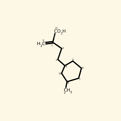 C=C(CCC1CCCC(C)C1)C(=O)O